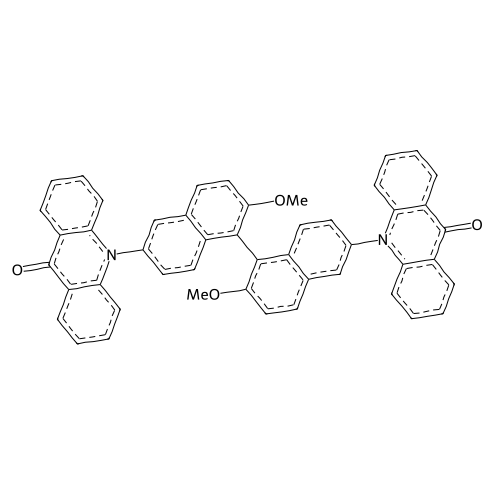 COc1ccc2cc(-n3c4ccccc4c(=O)c4ccccc43)ccc2c1-c1c(OC)ccc2cc(-n3c4ccccc4c(=O)c4ccccc43)ccc12